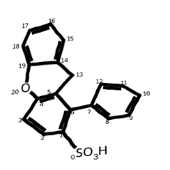 O=S(=O)(O)c1ccc2c(c1-c1ccccc1)Cc1ccccc1O2